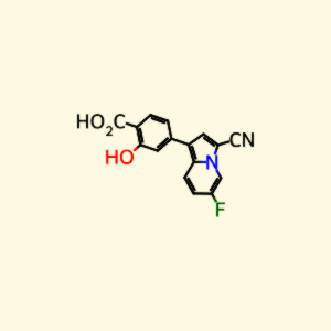 N#Cc1cc(-c2ccc(C(=O)O)c(O)c2)c2ccc(F)cn12